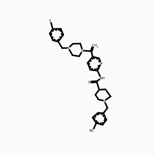 C=C(c1ccc(NC(=O)C2CCN(Cc3ccc(C#N)cc3)CC2)nc1)N1CCN(Cc2ccc(F)cc2)CC1